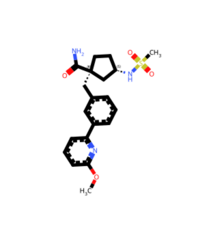 COc1cccc(-c2cccc(C[C@]3(C(N)=O)CC[C@H](NS(C)(=O)=O)C3)c2)n1